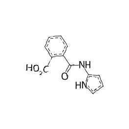 O=C(O)c1ccccc1C(=O)Nc1ccc[nH]1